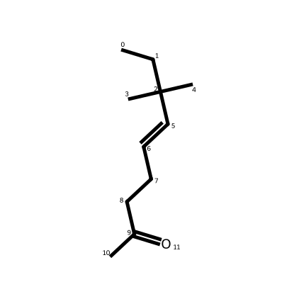 CCC(C)(C)C=CCCC(C)=O